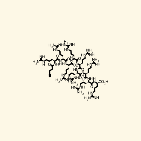 C#CCCC(=O)N[C@@H](CCCNC(=N)N)C(=O)N[C@@H](CCCNC(=N)N)C(=O)N[C@@H](CCCNC(=N)N)C(=O)N[C@@H](CCCNC(=N)N)C(=O)N[C@@H](CCCNC(=N)N)C(=O)N[C@@H](CCCNC(=N)N)C(=O)N[C@@H](CCCNC(=N)N)C(=O)N[C@@H](CCCNC(=N)N)C(=O)N[C@@H](CCCNC(=N)N)C(=O)O